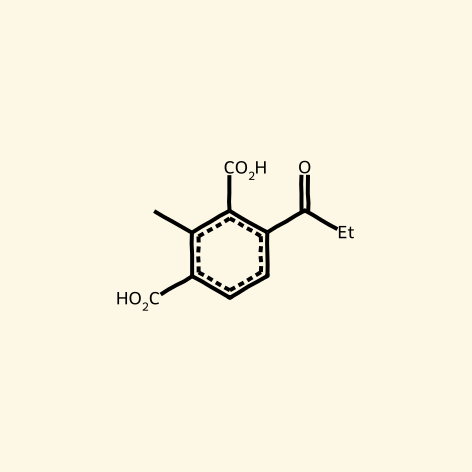 CCC(=O)c1ccc(C(=O)O)c(C)c1C(=O)O